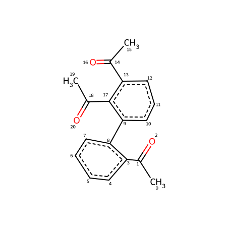 CC(=O)c1ccccc1-c1cccc(C(C)=O)c1C(C)=O